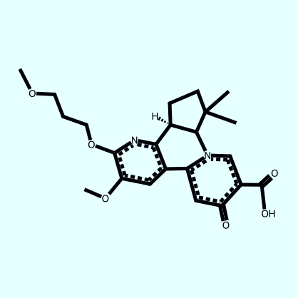 COCCCOc1nc2c(cc1OC)-c1cc(=O)c(C(=O)O)cn1C1[C@@H]2CCC1(C)C